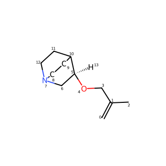 C=C(C)CO[C@H]1CN2CCC1CC2